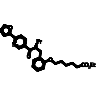 CCOC(=O)CCCCCOc1ccccc1CN(C(=O)c1ccc(-c2ccco2)nc1)C(C)C